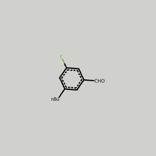 CCCCc1cc(F)cc(C=O)c1